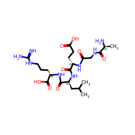 CC(C)C[C@H](NC(=O)[C@H](CCC(=O)O)NC(=O)CNC(=O)[C@H](C)N)C(=O)N[C@@H](CCCNC(=N)N)C(=O)O